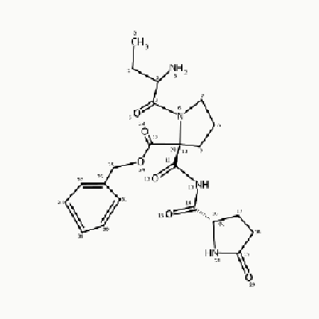 CCC(N)C(=O)N1CCC[C@]1(C(=O)NC(=O)[C@@H]1CCC(=O)N1)C(=O)OCc1ccccc1